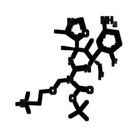 Cc1ncoc1[C@@]1(C)SC(N(COCC[Si](C)(C)C)C(=O)OC(C)(C)C)=N[C@](CF)(c2cc(N)ccc2F)C1C